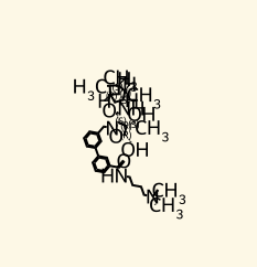 C[C@@H]1[C@@H](NC(=O)[C@@H]2[C@H]([C@H](C)O)[C@H](CO)ON2Cc2cccc(-c3cccc(C(=O)NCCCCN(C)C)c3)c2)C[C@H]2C[C@@H]1C2(C)C